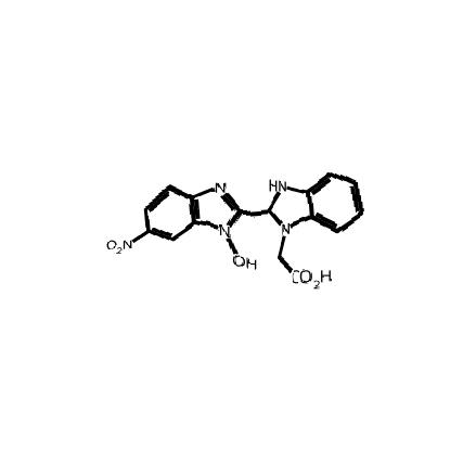 O=C(O)CN1c2ccccc2NC1c1nc2ccc([N+](=O)[O-])cc2n1O